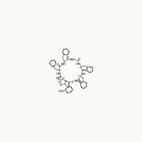 C[C@H]1OC(c2ccccc2O)N2C(=O)CNC(=O)[C@H](Cc3ccccc3)NC(=O)[C@H](Cc3ccccc3)NC(=O)CNC(=O)C(Cc3ccccc3)NC(=O)[C@H](Cc3ccccc3)NC(=O)[C@H]12